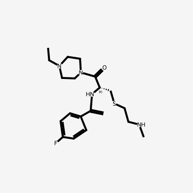 C=C(N[C@@H](CSCCNC)C(=O)N1CCN(CC)CC1)c1ccc(F)cc1